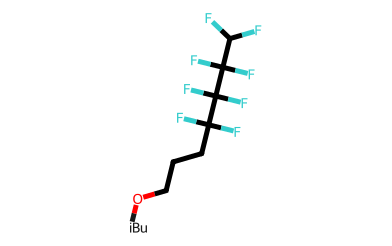 CCC(C)OCCCC(F)(F)C(F)(F)C(F)(F)C(F)F